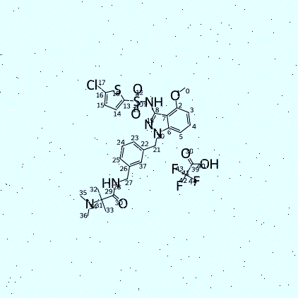 COc1cccc2c1c(NS(=O)(=O)c1ccc(Cl)s1)nn2Cc1cccc(CNC(=O)C(C)(C)N(C)C)c1.O=C(O)C(F)(F)F